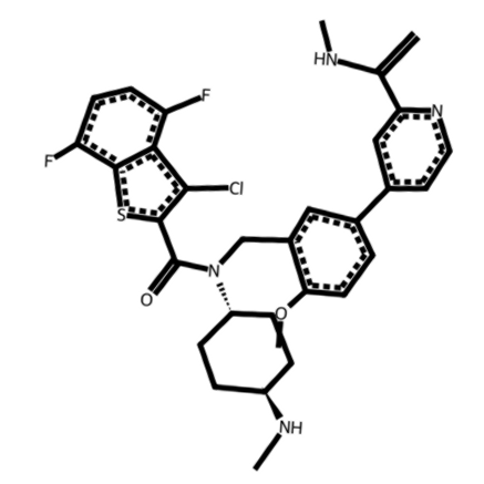 C=C(NC)c1cc(-c2ccc(OC)c(CN(C(=O)c3sc4c(F)ccc(F)c4c3Cl)[C@H]3CC[C@H](NC)CC3)c2)ccn1